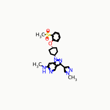 CNc1cc2c(cn1)c(-c1cnn(C)c1)nn2[C@H]1CC[C@@H](Oc2ccccc2S(C)(=O)=O)CC1